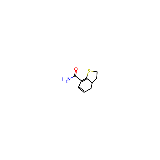 NC(=O)C1=C2SCCC2CC=C1